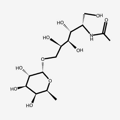 CC(=O)N[C@@H](CO)[C@@H](O)[C@@H](O)[C@H](O)CO[C@@H]1O[C@@H](C)[C@@H](O)[C@@H](O)[C@@H]1O